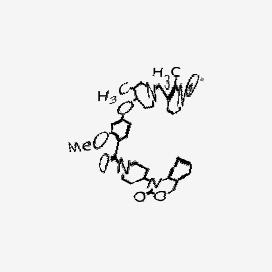 COc1cc(OC2CCN(Cc3ccc[n+]([O-])c3C)CC2C)ccc1C(=O)N1CCC(N2C(=O)OCc3ccccc32)CC1